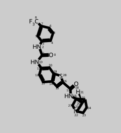 O=C(Nc1cccc(C(F)(F)F)c1)Nc1ccc2cc(C(=O)N[C@H]3CN4CCC3CC4)sc2c1